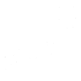 COc1cc(C#C[Si](C(C)C)(C(C)C)C(C)C)cc(NC(=O)OCc2ncc(C)c(OC)c2C)c1